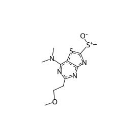 COCCc1nc(N(C)C)c2sc([S+](C)[O-])nc2n1